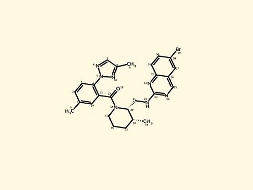 Cc1ccc(-n2ncc(C)n2)c(C(=O)N2CCC[C@@H](C)[C@H]2CNc2ncc3cc(Br)ccc3n2)c1